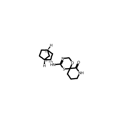 O=C1NCCCC12OCN=C(N[C@H]1C[C@H]3CC[C@@H]1C3)S2